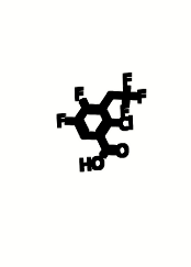 O=C(O)c1cc(F)c(F)c(CC(F)(F)F)c1Cl